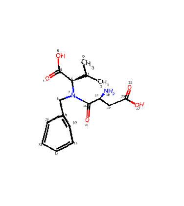 CC(C)[C@H](C(=O)O)N(Cc1ccccc1)C(=O)[C@@H](N)CC(=O)O